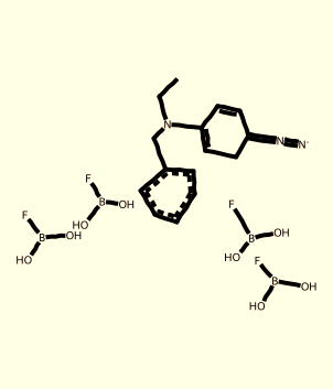 CCN(Cc1ccccc1)C1=CCC(=[N+]=[N-])C=C1.OB(O)F.OB(O)F.OB(O)F.OB(O)F